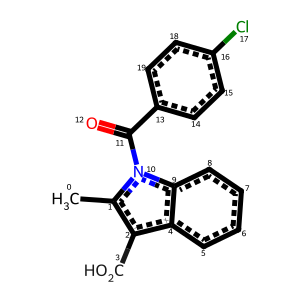 Cc1c(C(=O)O)c2ccccc2n1C(=O)c1ccc(Cl)cc1